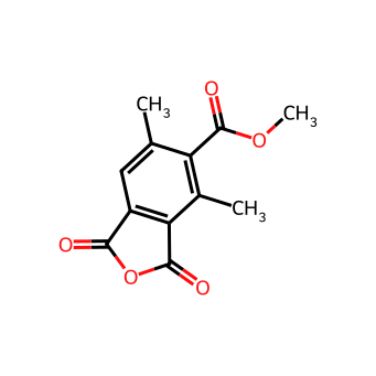 COC(=O)c1c(C)cc2c(c1C)C(=O)OC2=O